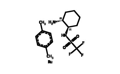 Cc1ccc(C)cc1.N[C@@H]1CCCC[C@H]1NS(=O)(=O)C(F)(F)F.[Ru]